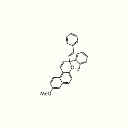 COc1ccc2c3c(ccc2c1)OC(C=Cc1ccccc1)(c1ccccc1F)C=C3